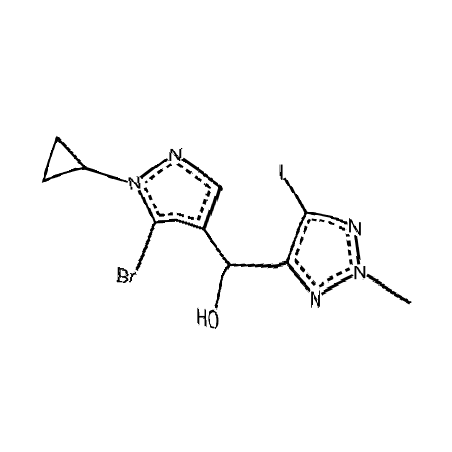 Cn1nc(I)c(C(O)c2cnn(C3CC3)c2Br)n1